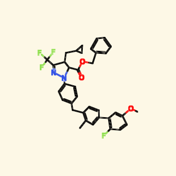 COc1ccc(F)c(-c2ccc(Cc3ccc(N4N=C(C(F)(F)F)C(CC5CC5)C4C(=O)OCc4ccccc4)cc3)c(C)c2)c1